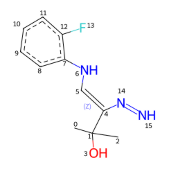 CC(C)(O)/C(=C/Nc1ccccc1F)N=N